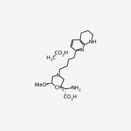 CC(=O)O.CO[C@H](C)CN(CCCCc1ccc2c(n1)NCCC2)CC[C@H](N)C(=O)O